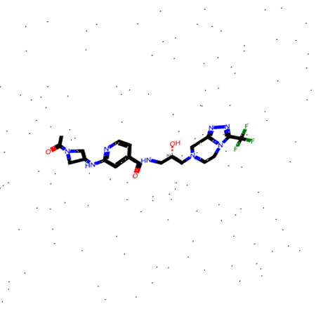 CC(=O)N1CC(Nc2cc(C(=O)NC[C@H](O)CN3CCn4c(nnc4C(F)(F)F)C3)ccn2)C1